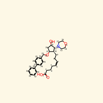 O=C(O)CCC/C=C\CC[C@@H]1[C@@H](N2CCOCC2)[C@H](O)C[C@@H]1OCc1ccc(-c2ccccc2)cc1